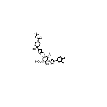 CO[C@@H]1[C@@H](n2cc(-c3cc(F)c(F)c(F)c3)nn2)[C@@H](O)[C@@H](CO)O[C@@H]1Cc1cc(C2(O)CCN(C(=O)OC(C)(C)C)CC2)on1